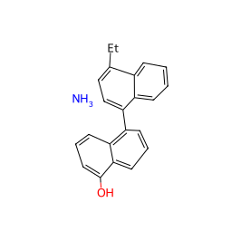 CCc1ccc(-c2cccc3c(O)cccc23)c2ccccc12.N